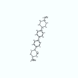 CCCCC1CCC(c2ccc(-c3ccc(C4CCC(CCC)CC4)cc3)cc2)OC1